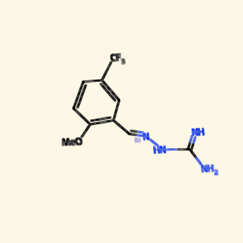 COc1ccc(C(F)(F)F)cc1/C=N/NC(=N)N